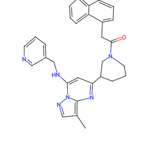 Cc1cnn2c(NCc3cccnc3)cc(C3CCCN(C(=O)Cc4cccc5ccccc45)C3)nc12